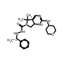 C[C@H](NNC(=O)N1CC2NC(NC3CCOCC3)=NC=C2C1(C)C)c1ccccc1